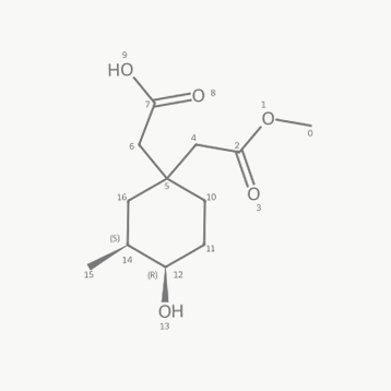 COC(=O)CC1(CC(=O)O)CC[C@@H](O)[C@@H](C)C1